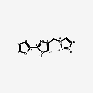 c1csc(-c2nc(Cn3ccnn3)cs2)c1